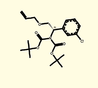 C=CCOC[C@H](c1cccc(Cl)c1)N(C(=O)OC(C)(C)C)C(=O)OC(C)(C)C